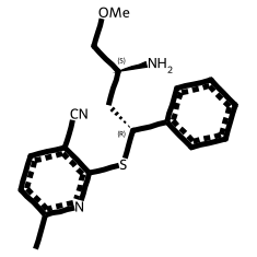 COC[C@@H](N)C[C@@H](Sc1nc(C)ccc1C#N)c1ccccc1